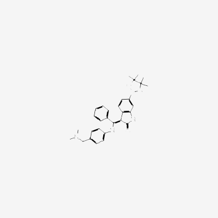 CN(C)Cc1ccc(N/C(=C2\C(=O)Nc3cc(B4OC(C)(C)C(C)(C)O4)ccc32)c2ccccc2)cc1